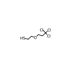 SCCOCCC(Cl)(Cl)Cl